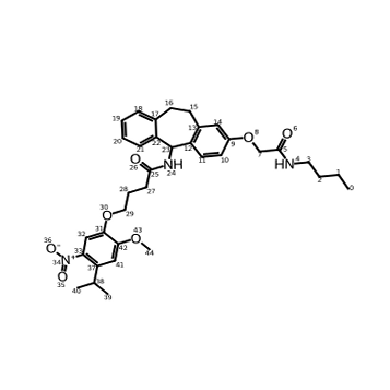 CCCCNC(=O)COc1ccc2c(c1)CCc1ccccc1C2NC(=O)CCCOc1cc([N+](=O)[O-])c(C(C)C)cc1OC